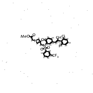 COC(=O)CN1CC2(C1)CN(S(=O)(=O)c1cccc(C(F)(F)F)c1)c1cc(/C=C(\C)c3c(F)cccc3Cl)ccc1O2